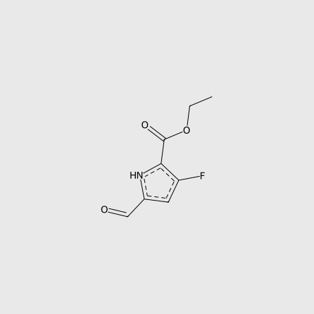 CCOC(=O)c1[nH]c(C=O)cc1F